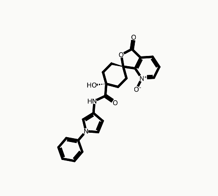 O=C1O[C@]2(CC[C@](O)(C(=O)Nc3ccn(-c4ccccc4)c3)CC2)c2c1ccc[n+]2[O-]